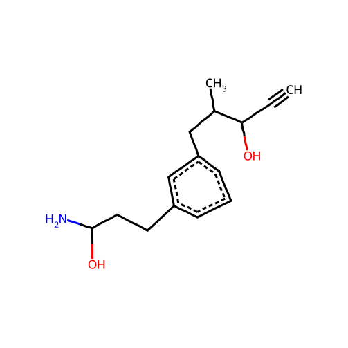 C#CC(O)C(C)Cc1cccc(CCC(N)O)c1